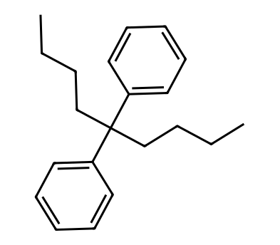 CCCCC(CCCC)(c1ccccc1)c1ccccc1